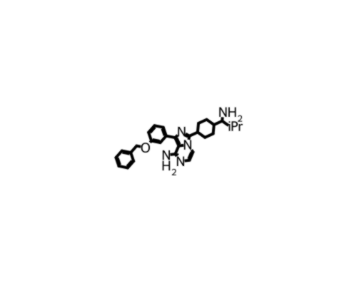 CC(C)C(N)C1CCC(c2nc(-c3cccc(OCc4ccccc4)c3)c3c(N)nccn23)CC1